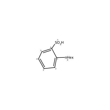 [CH2]CCCCCc1ccccc1S(=O)(=O)O